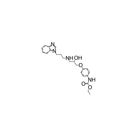 CCOC(=O)Nc1ccc(OCC(O)CNCCCn2cnc3ccccc32)cc1